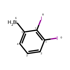 Ic1ccc[c]([BiH2])c1I